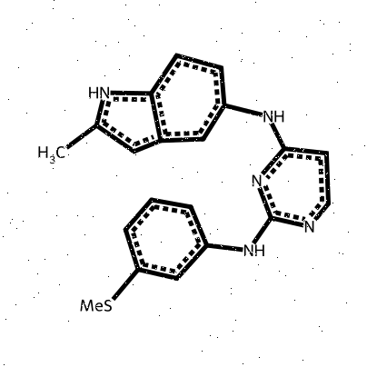 CSc1cccc(Nc2nccc(Nc3ccc4[nH]c(C)cc4c3)n2)c1